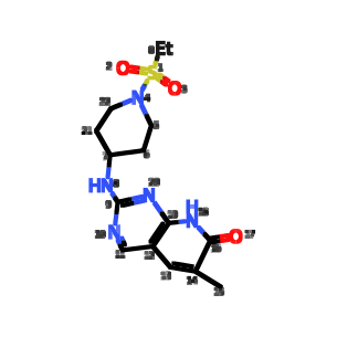 CCS(=O)(=O)N1CCC(Nc2ncc3cc(C)c(=O)[nH]c3n2)CC1